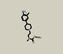 Cc1cc(C2CCN(CCN(C)C(=O)OC(C)(C)C)CC2)ccc1N